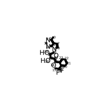 Cc1ncnc2c1ccn2[C@@H]1O[C@H]([C@@H]2OCC(F)(F)c3ccccc32)[C@@H](O)[C@H]1O